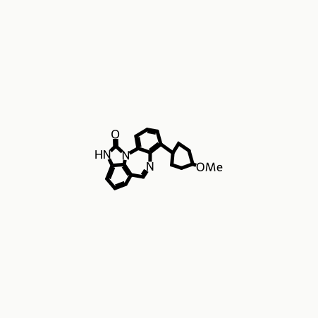 COC1CCC(c2cccc3c2N=Cc2cccc4[nH]c(=O)n-3c24)CC1